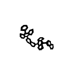 c1ccc(-c2c3ccccc3c(-c3ccc4ccc(-c5c6ccccc6c(-c6ccc7ccccc7c6)c6ccccc56)cc4c3)c3ccccc23)cc1